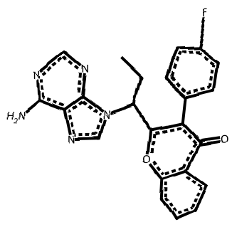 CCC(c1oc2ccccc2c(=O)c1-c1ccc(F)cc1)n1cnc2c(N)ncnc21